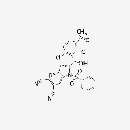 CC(=O)c1ccc(Cl)c(C(O)c2cc3nc(C#N)c(C#N)cc3n2S(=O)(=O)c2ccccc2)c1Cl